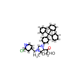 CC1(C)C(C(=O)C=O)N(c2ccc(C(c3ccccc3)(c3ccccc3)c3ccccc3)cc2)CN1Cc1ccnc(Cl)c1